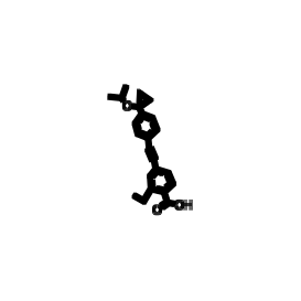 CCc1cc(C#Cc2ccc(C3(OC(C)C)CC3)cc2)ccc1C(=O)O